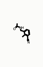 CC(=O)NCc1cccc(C#N)c1C